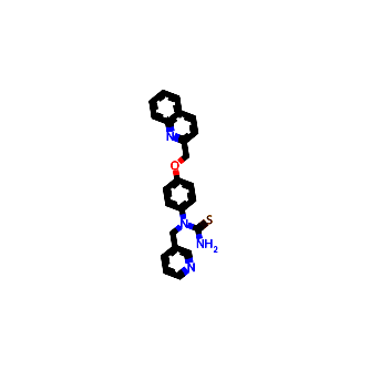 NC(=S)N(Cc1cccnc1)c1ccc(OCc2ccc3ccccc3n2)cc1